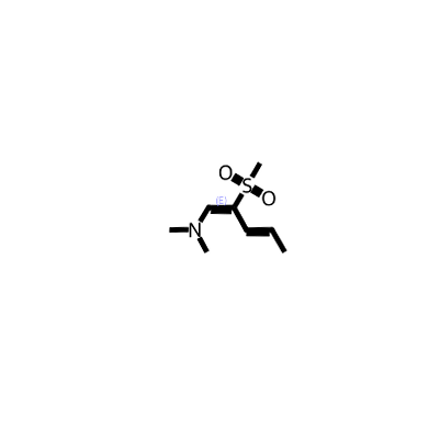 CC=C/C(=C\N(C)C)S(C)(=O)=O